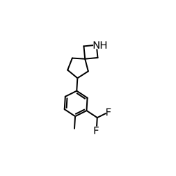 Cc1ccc(C2CCC3(CNC3)C2)cc1C(F)F